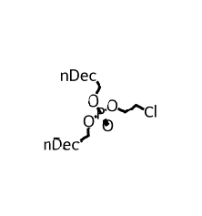 CCCCCCCCCCCOP(=O)(OCCCl)OCCCCCCCCCCC